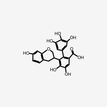 O=C(O)c1cc(O)c(O)c(C2COc3cc(O)ccc3C2)c1-c1cc(O)c(O)c(O)c1